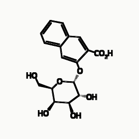 O=C(O)c1cc2ccccc2cc1O[C@H]1O[C@H](CO)[C@H](O)[C@H](O)[C@H]1O